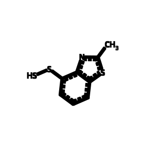 Cc1nc2c(SS)cccc2s1